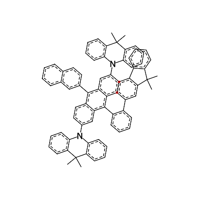 CC1(C)c2ccccc2-c2ccc(-c3ccccc3-c3c4ccc(N5c6ccccc6C(C)(C)c6ccccc65)cc4c(-c4ccc5ccccc5c4)c4ccc(N5c6ccccc6C(C)(C)c6ccccc65)cc34)cc21